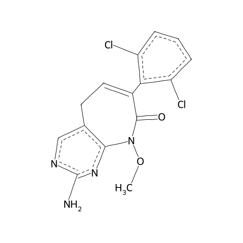 CON1C(=O)C(c2c(Cl)cccc2Cl)=CCc2cnc(N)nc21